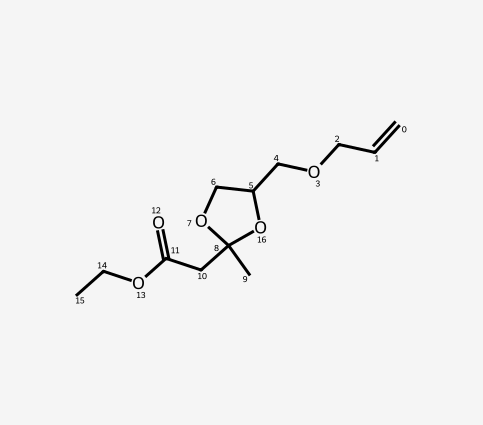 C=CCOCC1COC(C)(CC(=O)OCC)O1